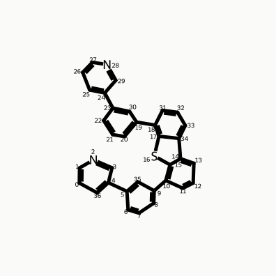 c1cncc(-c2cccc(-c3cccc4c3sc3c(-c5cccc(-c6cccnc6)c5)cccc34)c2)c1